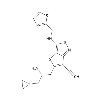 C#Cc1c(C[C@@H](N)CC2CC2)sc2c(NCc3cccs3)snc12